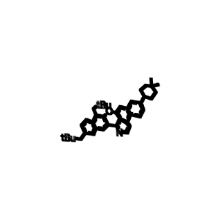 CC(C)(C)Cc1ccc2c(CC(C)(C)C)c3c(cc2c1)-c1nccc2c1c(cc1cc(C4CCC(C)(C)CC4)ccc12)O3